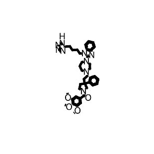 COc1cc(C(=O)N2CCC(CCN3CCCN(c4nc5ccccc5n4CCCCc4nnn[nH]4)CC3)(c3ccccc3)C2)cc(OC)c1OC